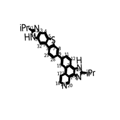 CC(C)c1nc2cc3sc4cc(-c5ccc6c(c5)c5ccncc5c5nc(C(C)C)[nH]c65)ccc4c3cc2[nH]1